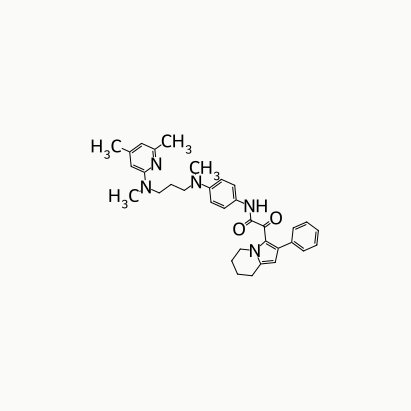 Cc1cc(C)nc(N(C)CCCN(C)c2ccc(NC(=O)C(=O)c3c(-c4ccccc4)cc4n3CCCC4)cc2)c1